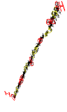 O=C(CCSCSCCCOOCCSCSCCOC(=O)CCSCSCCCOOCCSCSCO)OCCSCSCO